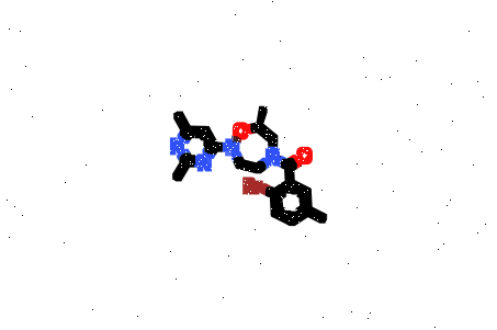 Cc1ccc(Br)c(C(=O)N2CCN(c3cc(C)nc(C)n3)O[C@@H](C)C2)c1